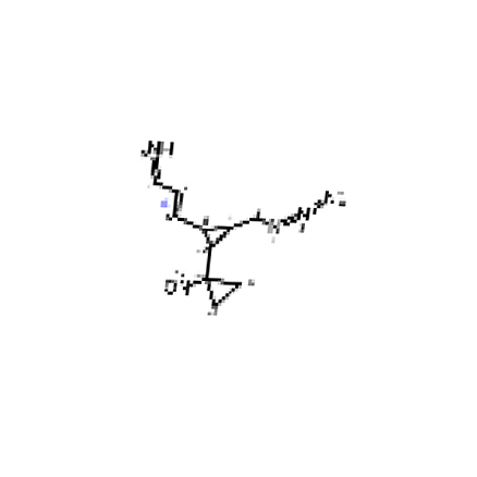 [N-]=[N+]=NCC1C(/C=C/C=N)C1C1(N=O)CC1